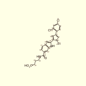 CCn1cc(-c2ccc(Cl)cc2Cl)nc1-c1nc2ccc(C(=O)NCCCC(=O)O)cc2[nH]1